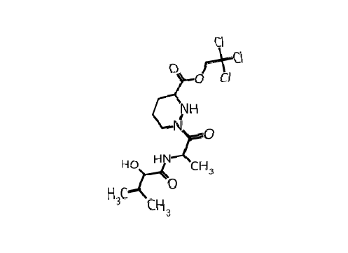 CC(NC(=O)C(O)C(C)C)C(=O)N1CCCC(C(=O)OCC(Cl)(Cl)Cl)N1